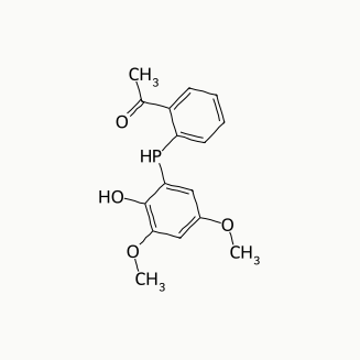 COc1cc(OC)c(O)c(Pc2ccccc2C(C)=O)c1